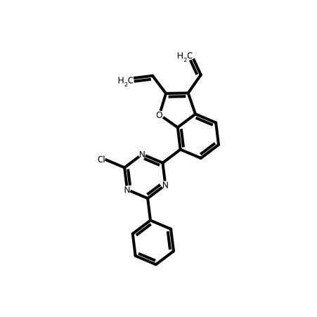 C=Cc1oc2c(-c3nc(Cl)nc(-c4ccccc4)n3)cccc2c1C=C